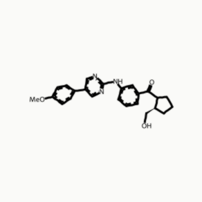 COc1ccc(-c2cnc(Nc3cccc(C(=O)C4CCC[C@H]4CO)c3)nc2)cc1